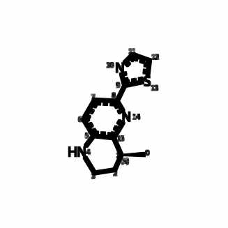 C[C@H]1CCNc2ccc(-c3nccs3)nc21